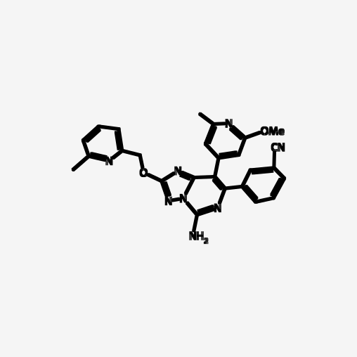 COc1cc(-c2c(-c3cccc(C#N)c3)nc(N)n3nc(OCc4cccc(C)n4)nc23)cc(C)n1